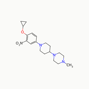 CN1CCN(C2CCN(c3ccc(OC4CC4)c([N+](=O)[O-])c3)CC2)CC1